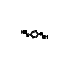 ON=C1C=CC(=NO)C=C1